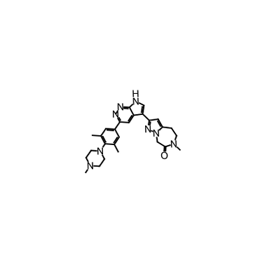 Cc1cc(-c2cc3c(-c4cc5n(n4)CC(=O)N(C)CC5)c[nH]c3nn2)cc(C)c1N1CCN(C)CC1